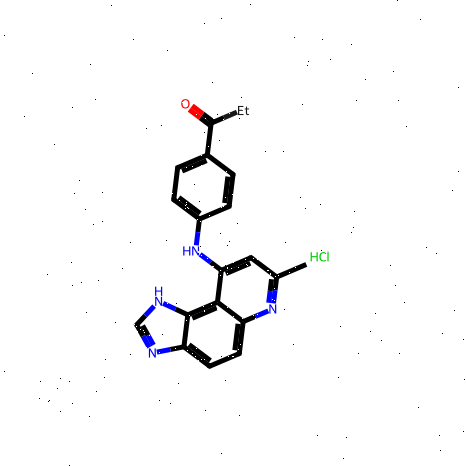 CCC(=O)c1ccc(Nc2cc(C)nc3ccc4nc[nH]c4c23)cc1.Cl